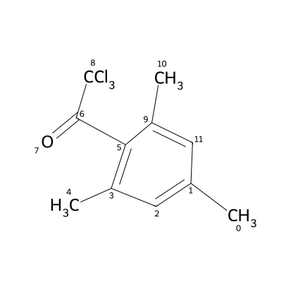 Cc1cc(C)c(C(=O)C(Cl)(Cl)Cl)c(C)c1